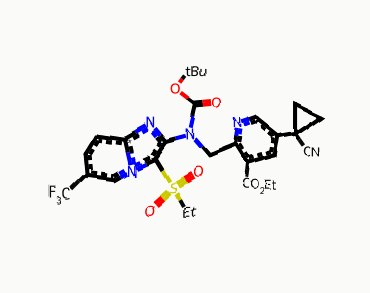 CCOC(=O)c1cc(C2(C#N)CC2)cnc1CN(C(=O)OC(C)(C)C)c1nc2ccc(C(F)(F)F)cn2c1S(=O)(=O)CC